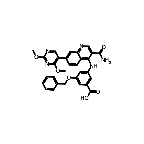 COc1ncc(-c2ccc3c(Nc4cc(OCc5ccccc5)cc(C(=O)O)c4)c(C(N)=O)cnc3c2)c(OC)n1